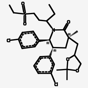 CCC(CCS(=O)(=O)CC)N1C(=O)[C@@](C)(CC2COC(C)(C)O2)C[C@H](c2cccc(Cl)c2)[C@H]1c1ccc(Cl)cc1